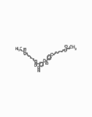 C=CC(=O)OCCCCCCOC(=O)c1cc(OC(=O)c2ccc(OCCCCCCOC(=O)C=C)cc2)ccc1O